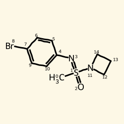 CS(=O)(=Nc1ccc(Br)cc1)N1CCC1